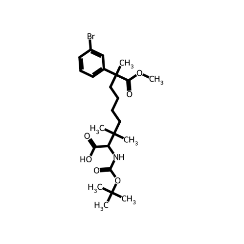 COC(=O)C(C)(CCCCC(C)(C)C(NC(=O)OC(C)(C)C)C(=O)O)c1cccc(Br)c1